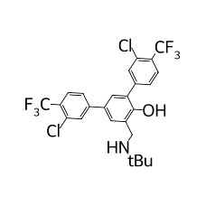 CC(C)(C)NCc1cc(-c2ccc(C(F)(F)F)c(Cl)c2)cc(-c2ccc(C(F)(F)F)c(Cl)c2)c1O